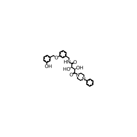 O=C(NCc1cccc(OCc2cccc(O)c2)c1)[C@H](O)[C@@H](O)C(=O)N1CCN(c2ccccc2)CC1